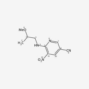 COC(C)CNc1ncc(C#N)cc1[N+](=O)[O-]